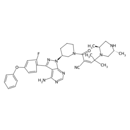 C[C@@H]1CN(C(C)(C)/C=C(/C#N)C(=O)N2CCC[C@H](n3nc(-c4ccc(Oc5ccccc5)cc4F)c4c(N)ncnc43)C2)[C@@H](C)CN1